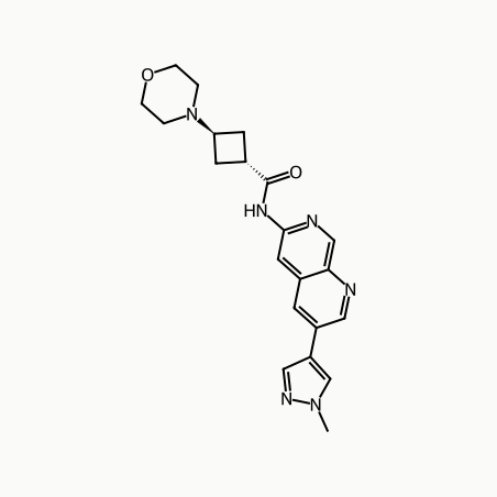 Cn1cc(-c2cnc3cnc(NC(=O)[C@H]4C[C@H](N5CCOCC5)C4)cc3c2)cn1